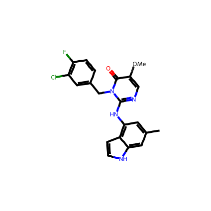 COc1cnc(Nc2cc(C)cc3[nH]ccc23)n(Cc2ccc(F)c(Cl)c2)c1=O